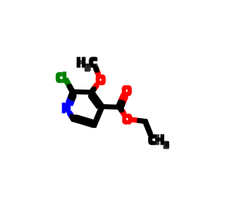 CCOC(=O)c1ccnc(Cl)c1OC